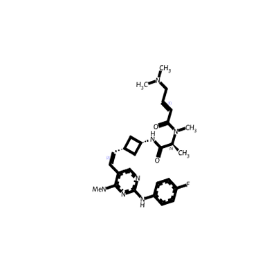 CNc1nc(Nc2ccc(F)cc2)ncc1/C=C\[C@H]1C[C@@H](NC(=O)[C@H](C)N(C)C(=O)/C=C/CN(C)C)C1